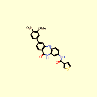 COc1cc(-c2ccc3c(c2)Nc2ccc(NC(=O)c4ccsc4)cc2NC3=O)ccc1[N+](=O)[O-]